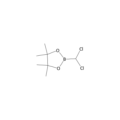 CC1(C)OB(C(Cl)Cl)OC1(C)C